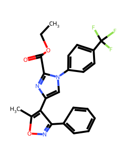 CCOC(=O)c1nc(-c2c(-c3ccccc3)noc2C)cn1-c1ccc(C(F)(F)F)cc1